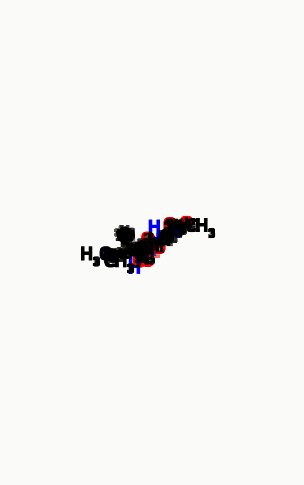 COc1ccn(-c2ccc(C(=O)NS(=O)(=O)c3ccc(N[C@H](CCCCN(C)C)CSc4ccccc4)c([N+](=O)[O-])c3)cc2)c(=O)c1